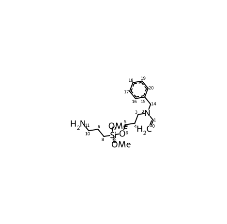 C=CN(CCCO[Si](CCCN)(OC)OC)Cc1ccccc1